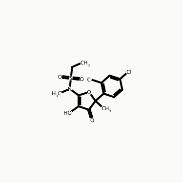 CCS(=O)(=O)N(C)C1=C(O)C(=O)C(C)(c2ccc(Cl)cc2Cl)O1